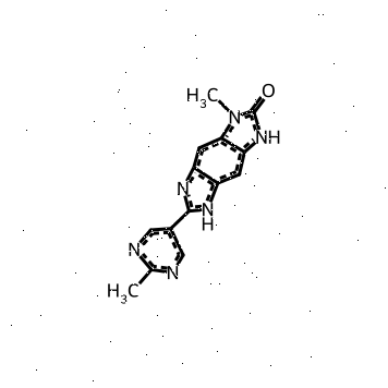 Cc1ncc(-c2nc3cc4c(cc3[nH]2)[nH]c(=O)n4C)cn1